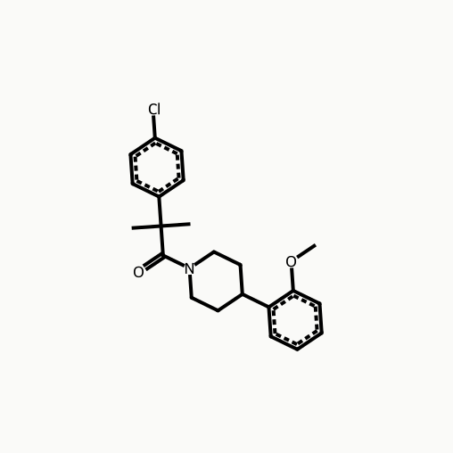 COc1ccccc1C1CCN(C(=O)C(C)(C)c2ccc(Cl)cc2)CC1